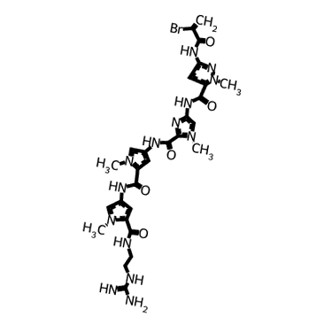 C=C(Br)C(=O)Nc1cc(C(=O)Nc2cn(C)c(C(=O)Nc3cc(C(=O)Nc4cc(C(=O)NCCNC(=N)N)n(C)c4)n(C)c3)n2)n(C)n1